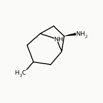 CC1CC2C[C@@H](N)C(C1)N2